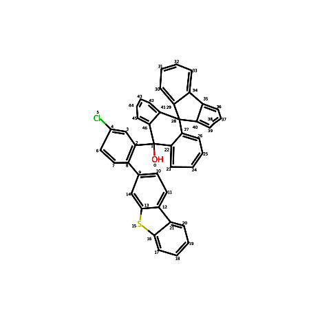 OC1(c2cc(Cl)ccc2-c2ccc3c(c2)sc2ccccc23)c2ccccc2C2(c3ccccc3-c3ccccc32)c2ccccc21